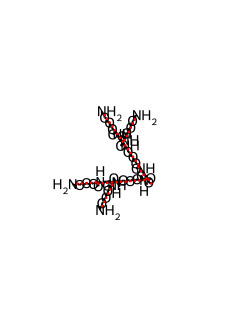 COC(=O)C(CCCCNC(=O)COCCOCCOCCNC(=O)C(CCCNC(=O)COCCOCCOCCN)NC(=O)COCCOCCOCCN)NC(=O)COCCOCCOCCNC(=O)C(CCCCNC(=O)COCCOCCOCCN)NC(=O)COCCOCCOCCN